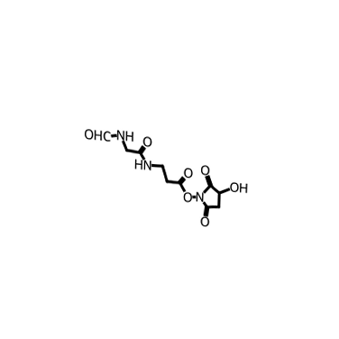 O=CNCC(=O)NCCC(=O)ON1C(=O)CC(O)C1=O